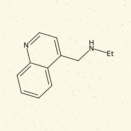 CCNCc1ccnc2ccccc12